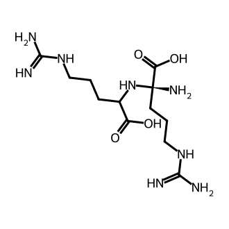 N=C(N)NCCCC(N[C@@](N)(CCCNC(=N)N)C(=O)O)C(=O)O